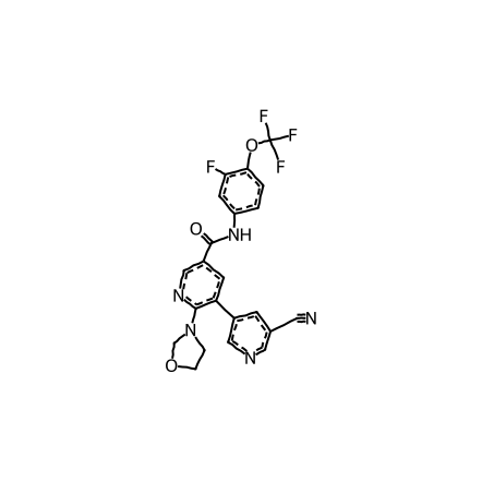 N#Cc1cncc(-c2cc(C(=O)Nc3ccc(OC(F)(F)F)c(F)c3)cnc2N2CCOC2)c1